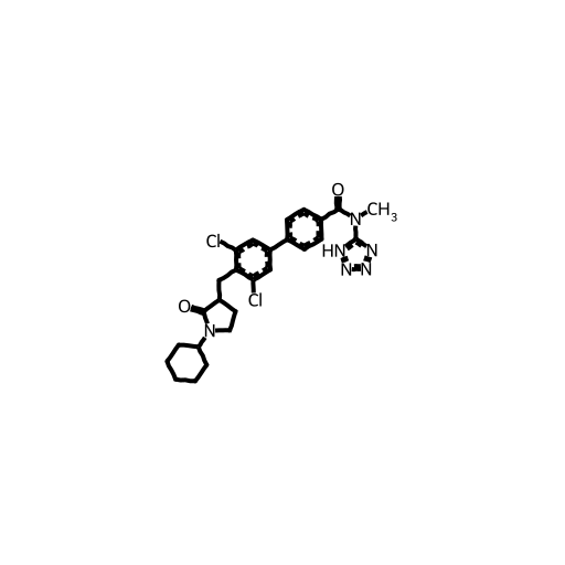 CN(C(=O)c1ccc(-c2cc(Cl)c(CC3CCN(C4CCCCC4)C3=O)c(Cl)c2)cc1)c1nnn[nH]1